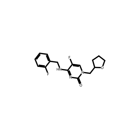 O=c1nc(NCc2ccccc2F)c(F)cn1CC1CCCO1